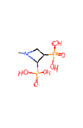 CN1CC(P(=O)(O)O)C1P(=O)(O)O